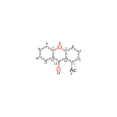 CC(=O)c1cccc2oc3ccccc3c(=O)c12